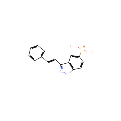 O=P(O)(O)c1ccc2[nH]nc(/C=C/c3ccccc3)c2c1